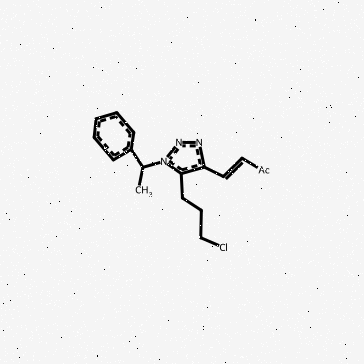 CC(=O)/C=C/c1nnn(C(C)c2ccccc2)c1CCCCl